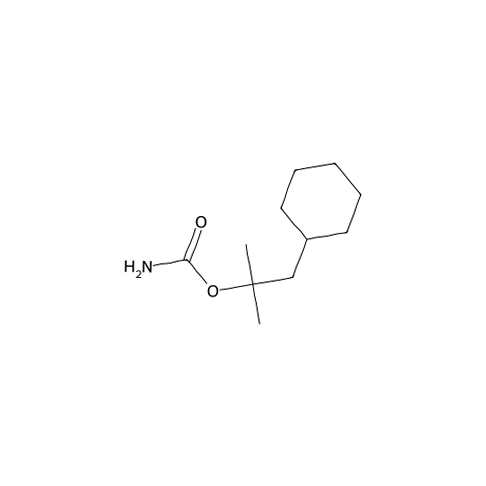 CC(C)(CC1CCCCC1)OC(N)=O